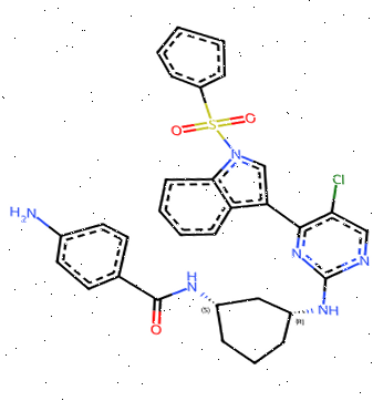 Nc1ccc(C(=O)N[C@H]2CCC[C@@H](Nc3ncc(Cl)c(-c4cn(S(=O)(=O)c5ccccc5)c5ccccc45)n3)C2)cc1